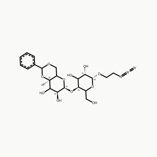 [N-]=[N+]=NCCO[C@@H]1OC(CO)[C@@H](O[C@@H]2OC3COC(c4ccccc4)O[C@@H]3C(O)[C@@H]2O)C(O)[C@@H]1O